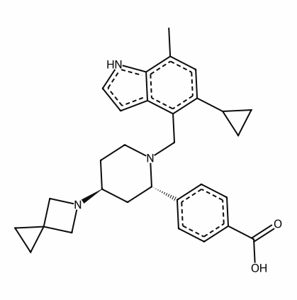 Cc1cc(C2CC2)c(CN2CC[C@H](N3CC4(CC4)C3)C[C@H]2c2ccc(C(=O)O)cc2)c2cc[nH]c12